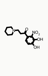 O=C(CCN1CCCCC1)c1ccc(O)c(O)c1[N+](=O)[O-]